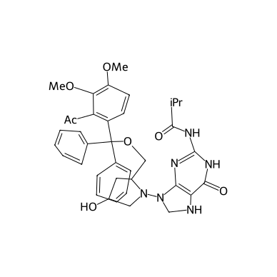 COc1ccc(C(OCC2CC(O)CN2N2CNc3c2nc(NC(=O)C(C)C)[nH]c3=O)(c2ccccc2)c2ccccc2)c(C(C)=O)c1OC